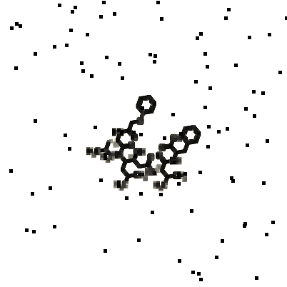 CC(C)CC(NC(=O)[C@H](CC(C)C)NC(=O)COc1ccccc1)[C@@H](O)CC(=O)N[C@H](C(=O)NC(Cc1ccccc1)C(=O)O)C(C)C